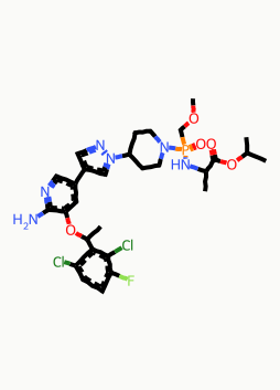 COCP(=O)(NC(C)C(=O)OC(C)C)N1CCC(n2cc(-c3cnc(N)c(OC(C)c4c(Cl)ccc(F)c4Cl)c3)cn2)CC1